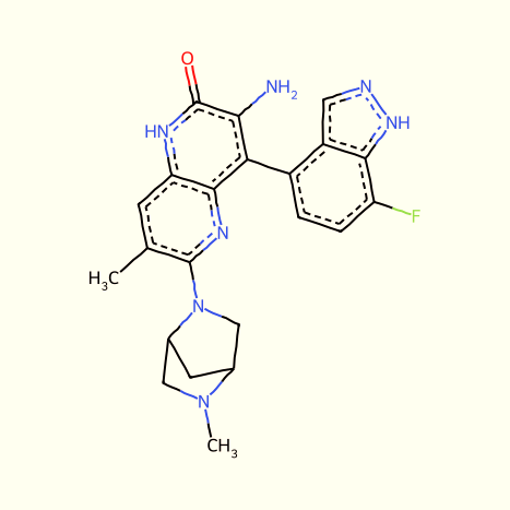 Cc1cc2[nH]c(=O)c(N)c(-c3ccc(F)c4[nH]ncc34)c2nc1N1CC2CC1CN2C